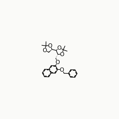 CC1(C)OC[C@H]([C@H]2OC(C)(C)O[C@@H]2COc2cc3ccccc3cc2OCc2ccccc2)O1